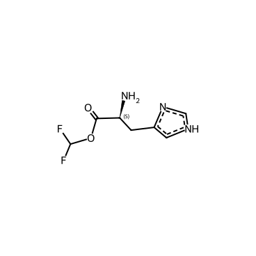 N[C@@H](Cc1c[nH]cn1)C(=O)OC(F)F